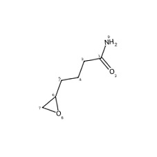 NC(=O)CC[CH]C1CO1